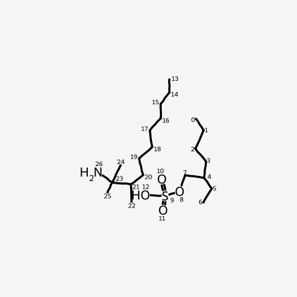 CCCCC(CC)COS(=O)(=O)O.CCCCCCCCC(C)C(C)(C)N